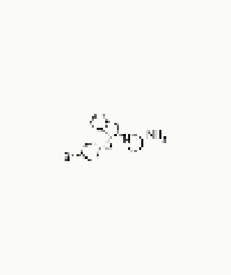 N[C@@H]1CCCN([C@@H]2Cc3ccccc3[C@H]2Oc2ccc(Br)cc2)C1